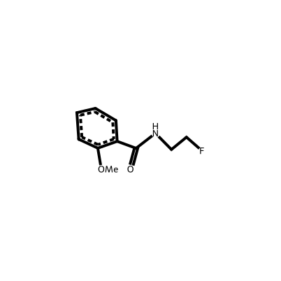 COc1ccccc1C(=O)NCCF